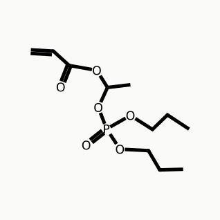 C=CC(=O)OC(C)OP(=O)(OCCC)OCCC